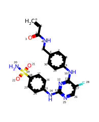 C=CC(=O)NCc1ccc(Nc2nc(Nc3ccc(S(N)(=O)=O)cc3)ncc2F)cc1